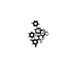 C[C@H](N)C(=O)N(C(=O)[C@@H](O)c1cc(F)cc(F)c1)[C@@]1(C)C[C@H](c2ccccc2)C[C@H](c2ccccc2)NC1=O